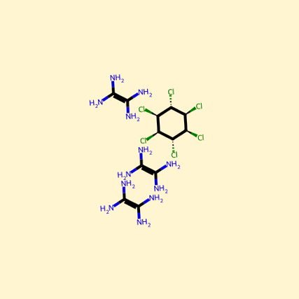 Cl[C@H]1[C@H](Cl)[C@@H](Cl)[C@@H](Cl)[C@H](Cl)[C@H]1Cl.NC(N)=C(N)N.NC(N)=C(N)N.NC(N)=C(N)N